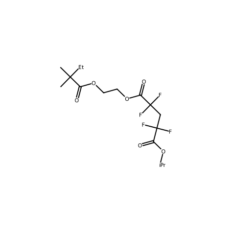 CCC(C)(C)C(=O)OCCOC(=O)C(F)(F)CC(F)(F)C(=O)OC(C)C